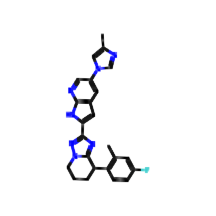 Cc1cn(-c2cnc3[nH]c(-c4nc5n(n4)CCCC5c4ccc(F)cc4C)cc3c2)cn1